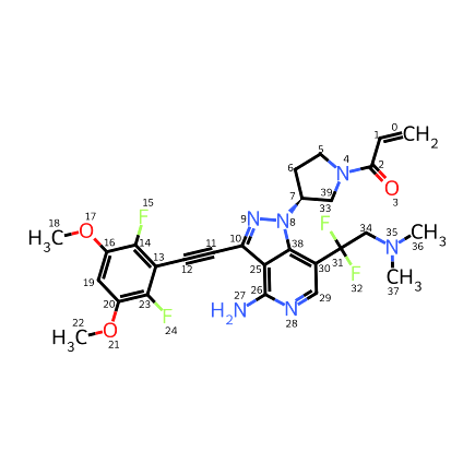 C=CC(=O)N1CC[C@H](n2nc(C#Cc3c(F)c(OC)cc(OC)c3F)c3c(N)ncc(C(F)(F)CN(C)C)c32)C1